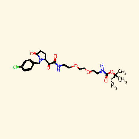 CC(C)(C)OC(=O)NCCOCCOCCNC(=O)C(=O)C1CCC(=O)N1Cc1ccc(Cl)cc1